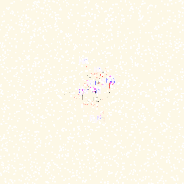 CCNCCOCc1cc(OCCNCC)cc(C(=O)NC(=O)C[C@@H]2NC(=O)[C@H](NC(=O)[C@@H](CC(C)C)NC)[C@H](O)c3ccc(c(C)c3)Oc3cc4cc(c3O[C@@H]3O[C@H](CO)[C@@H](O)[C@H](O)[C@H]3O[C@H]3C[C@](C)(N)[C@H](O)[C@H](C)O3)Oc3ccc(cc3Cl)[C@@H](O)[C@@H]3NC(=O)[C@H](NC(=O)[C@@H]4NC2=O)c2ccc(O)c(c2)-c2c(O)cc(O)cc2[C@@H](C(=O)NC2C4CC5CC(C4)CC2C5)NC3=O)c1